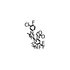 Cc1cnc([C@@H]2COC(=O)N2c2cc(C(F)(F)F)c3ncsc3n2)n1-c1ccc(F)c(Cl)c1